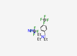 CC[N+](CC)(CC)Cc1ccccc1.F[B-](F)(F)F.F[B-](F)(F)F.[NH4+]